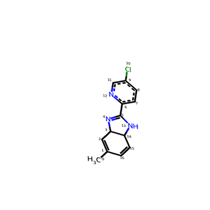 CC1=CC2N=C(c3ccc(Cl)cn3)NC2C=C1